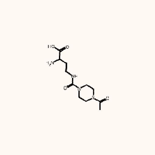 CC(=O)N1CCN(C(=O)NCCC(N)C(=O)O)CC1